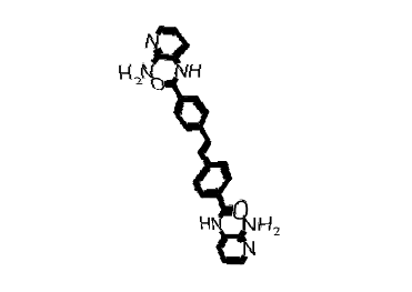 Nc1ncccc1NC(=O)c1ccc(C=Cc2ccc(C(=O)Nc3cccnc3N)cc2)cc1